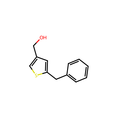 OCc1csc(Cc2ccccc2)c1